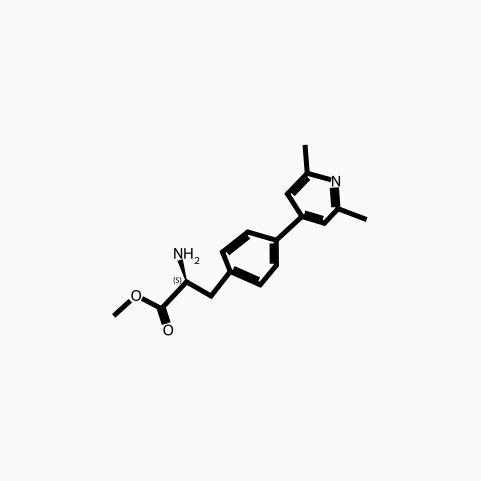 COC(=O)[C@@H](N)Cc1ccc(-c2cc(C)nc(C)c2)cc1